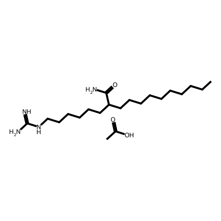 CC(=O)O.CCCCCCCCCCC(CCCCCCNC(=N)N)C(N)=O